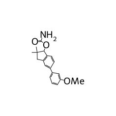 COc1cccc(-c2ccc3c(c2)CC(C)(C)C3OC(N)=O)c1